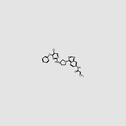 C=CC(=O)Nc1ccc2c(N3CC[C@@H](Nc4ncc(Cl)c(Oc5ccccc5)n4)C3)ncnc2c1